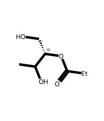 CCC(=O)O[C@@H](CO)C(C)O